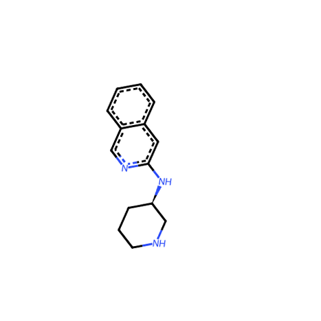 c1ccc2cc(N[C@@H]3CCCNC3)ncc2c1